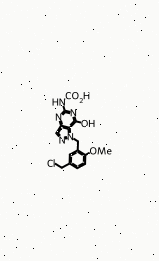 COc1ccc(CCl)cc1Cn1ncc2nc(NC(=O)O)nc(O)c21